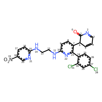 O=C1N=CC=CC1c1ccc(NCCNc2ccc([N+](=O)[O-])cn2)nc1-c1ccc(Cl)cc1Cl